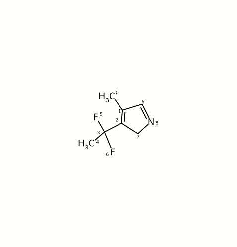 CC1=C(C(C)(F)F)CN=C1